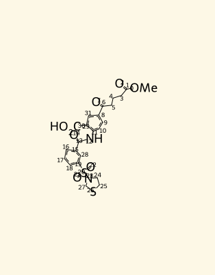 COC(=O)CCCC(=O)c1ccc(NC(=O)c2cccc(S(=O)(=O)N3CCSC3)c2)c(C(=O)O)c1